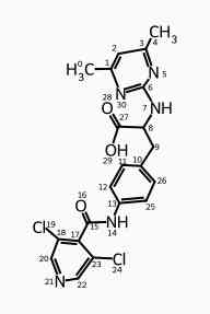 Cc1cc(C)nc(NC(Cc2ccc(NC(=O)c3c(Cl)cncc3Cl)cc2)C(=O)O)n1